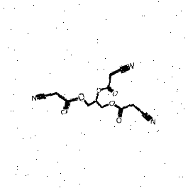 N#CCC(=O)OCC(COC(=O)CC#N)OC(=O)CC#N